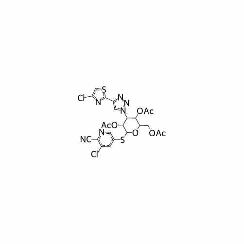 CC(=O)OCC1OC(Sc2cnc(C#N)c(Cl)c2)C(OC(C)=O)C(n2cc(-c3nc(Cl)cs3)nn2)C1OC(C)=O